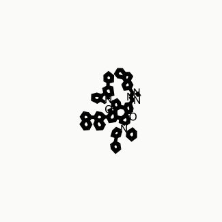 c1ccc(-c2cccc(N(c3ccccc3)c3cc4oc5cc(-c6ncnc(-c7ccc8c(ccc9ccccc98)c7)n6)cc6c7ccc(N8Cc9ccccc9-c9cc(-c%10ccccc%10)ccc98)c8oc9c(-c%10ccc(-c%11cccc%12ccccc%11%12)c%11ccccc%10%11)ccc(c(c3)c4c56)c9c87)c2)cc1